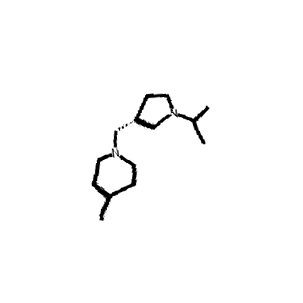 CC1CCN(C[C@@H]2CCN(C(C)C)C2)CC1